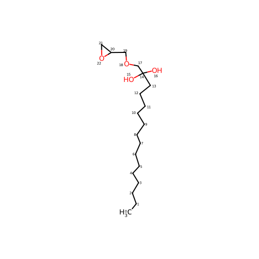 CCCCCCCCCCCCCCC(O)(O)COCC1CO1